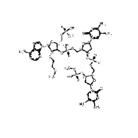 COCCO[C@H]1C(OP(=O)(O)OC[C@H]2O[C@@H](n3cc(C)c(N)nc3=O)C[C@H]2OP(=O)(S)OC[C@H]2O[C@@H](n3cc(C)c(N)nc3=O)C[C@H]2OP(=O)(S)OC)[C@@H](COP(=O)(O)O)O[C@H]1n1cnc2c(N)ncnc21